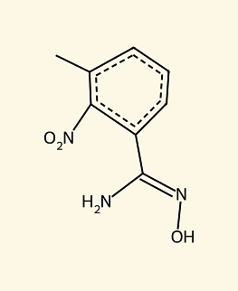 Cc1cccc(C(N)=NO)c1[N+](=O)[O-]